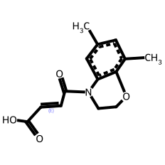 Cc1cc(C)c2c(c1)N(C(=O)/C=C/C(=O)O)CCO2